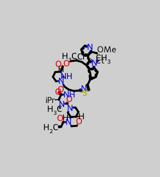 C=CC(=O)N1CCO[C@H]2CCN(C(=O)N(C)[C@H](C(=O)N[C@H]3Cc4nc(cs4)-c4ccc5c(c4)c(c(-c4cccnc4[C@H](C)OC)n5CC)CC(C)(C)COC(=O)[C@@H]4CCCN(N4)C3=O)C(C)C)C[C@@H]21